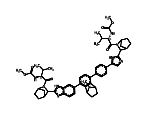 COC(=O)N[C@H](C(=O)N1C2CCC(C2)C1c1ncc(-c2ccc(-c3ccc(-c4ccc5nc(C6C7CCC(C7)N6C(=O)[C@@H](NC(=O)OC)C(C)C)[nH]c5c4)c4c3C3CCC4N3C)cc2)[nH]1)C(C)C